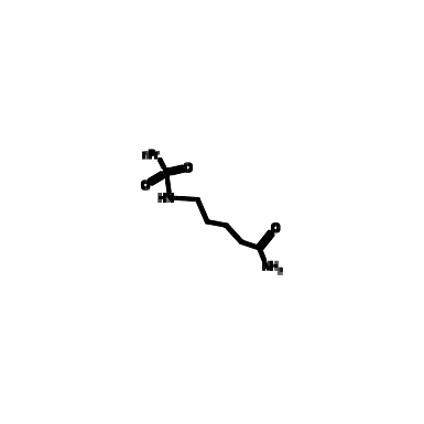 CCCS(=O)(=O)NCCCCC(N)=O